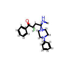 CNC(CC(F)C(=O)c1ccccc1)N1CCN(c2ccccc2)CC1